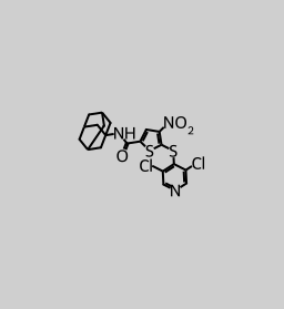 O=C(NC12CC3CC(CC(C3)C1)C2)c1cc([N+](=O)[O-])c(Sc2c(Cl)cncc2Cl)s1